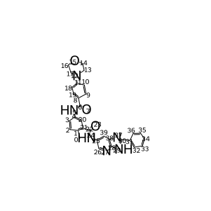 Cc1ccc(NC(=O)c2ccc(N3CCOCC3)cc2)cc1C(=O)Nc1cnc2[nH]c(-c3ccccc3)nc2c1